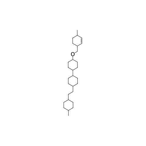 CC1C=CC(COC2CCC(C3CCC(CCC4CCC(C)CC4)CC3)CC2)CC1